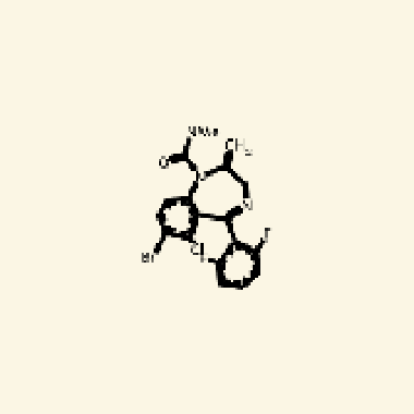 C=C1CN=C(c2c(F)cccc2F)c2c(ccc(Br)c2Cl)N1C(=O)NC